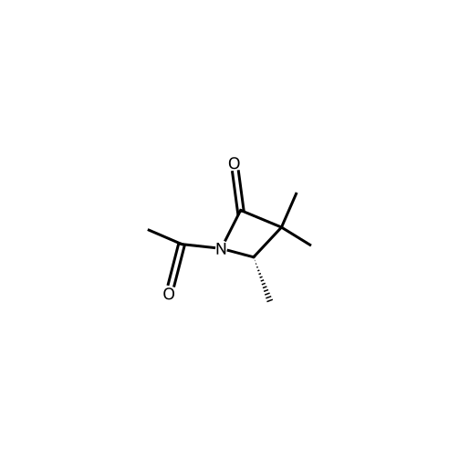 CC(=O)N1C(=O)C(C)(C)[C@@H]1C